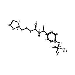 CC(NC(=O)CCCN1CCCC1)c1ccc(OS(=O)(=O)C(F)(F)F)cc1